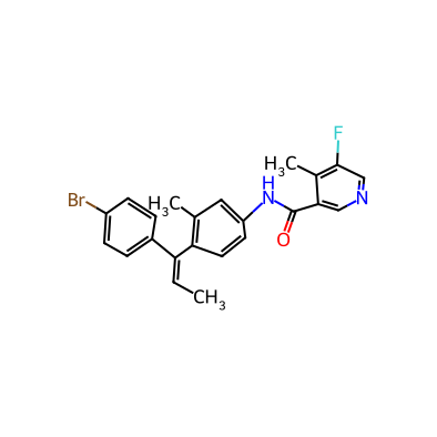 CC=C(c1ccc(Br)cc1)c1ccc(NC(=O)c2cncc(F)c2C)cc1C